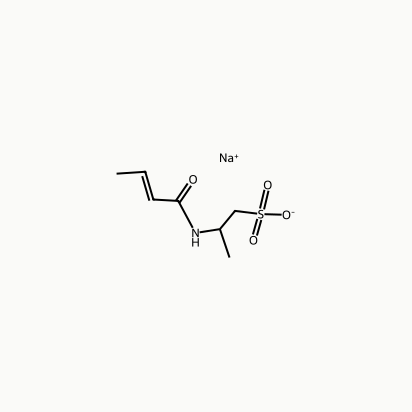 CC=CC(=O)NC(C)CS(=O)(=O)[O-].[Na+]